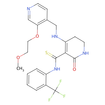 COCCOc1cnccc1CNC1=C(C(=S)Nc2ccccc2C(F)(F)F)C(=O)NCC1